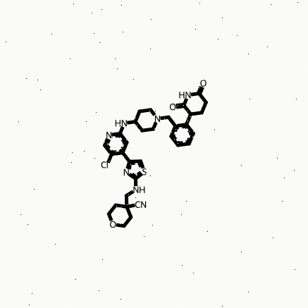 N#CC1(CNc2nc(-c3cc(NC4CCN(Cc5ccccc5C5CCC(=O)NC5=O)CC4)ncc3Cl)cs2)CCOCC1